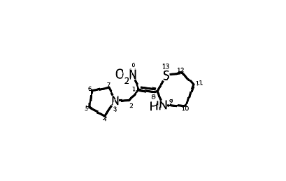 O=[N+]([O-])C(CN1CCCC1)=C1NCCCS1